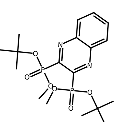 COP(=O)(OC(C)(C)C)c1nc2ccccc2nc1P(=O)(OC)OC(C)(C)C